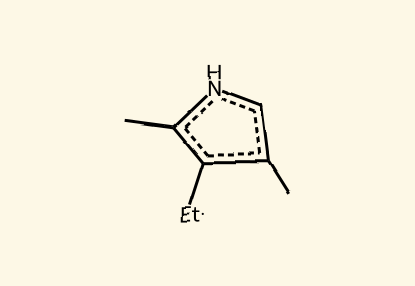 C[CH]c1c(C)c[nH]c1C